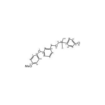 COc1ccc(Oc2cccc(COCC(C)(C)c3ccc(Cl)cc3)c2)cc1